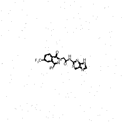 CC(C)c1nn(CC(=O)Nc2ncc3nc[nH]c3n2)c(=O)c2ccc(C(F)(F)F)cc12